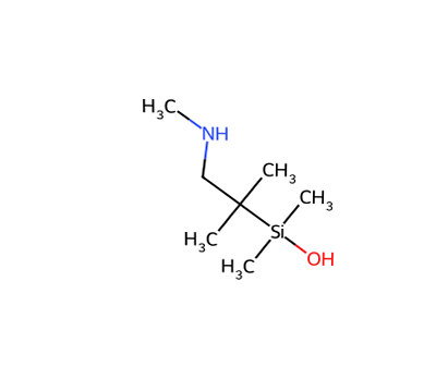 CNCC(C)(C)[Si](C)(C)O